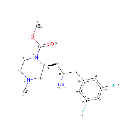 CC(=O)N1CCN(C(=O)OC(C)(C)C)[C@@H](CC(N)Cc2cc(F)cc(F)c2)C1